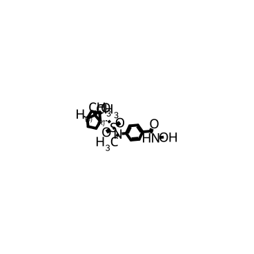 CN(c1ccc(C(=O)NO)cc1)S(=O)(=O)C[C@@]12CC[C@@H](CC1=O)C2(C)C